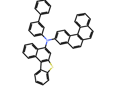 c1ccc(-c2cccc(N(c3ccc4c(ccc5ccc6ccccc6c54)c3)c3cc4sc5ccccc5c4c4ccccc34)c2)cc1